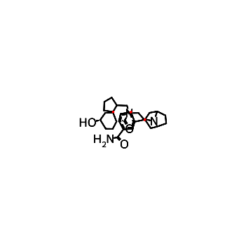 NC(=O)c1cccc(C2CC3CCC(C2)N3CCN(CC2CCCC2)C(=O)[C@H]2CC[C@H](O)CC2)c1